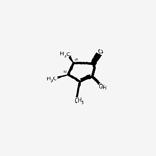 CC1=C(O)C(=O)[C@H](C)[C@@H]1C